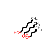 C=CCCCCO.C=CCCCO.C=CCCO